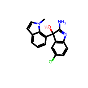 Cn1ccc2cccc(C3(O)C(N)=Nc4ccc(Cl)cc43)c21